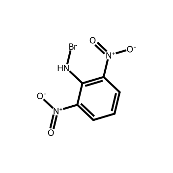 O=[N+]([O-])c1cccc([N+](=O)[O-])c1NBr